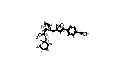 C#Cc1ccc(-c2cc(Cn3ccnc3[C@H](C)OC3CCCCO3)no2)cc1